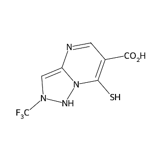 O=C(O)C1=C(S)N2NN(C(F)(F)F)C=C2N=C1